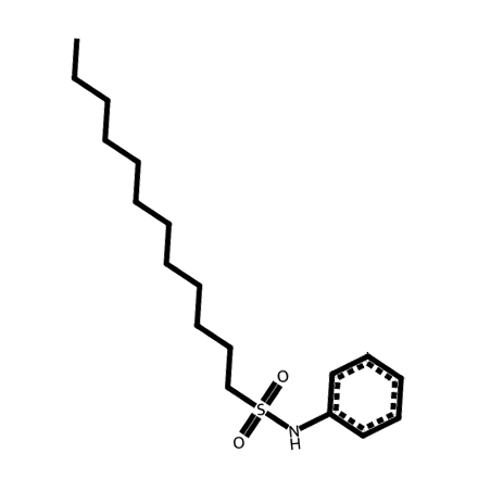 CCCCCCCCCCCCS(=O)(=O)Nc1c[c]ccc1